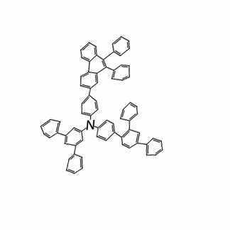 c1ccc(-c2cc(-c3ccccc3)cc(N(c3ccc(-c4ccc5c(c4)c(-c4ccccc4)c(-c4ccccc4)c4ccccc45)cc3)c3ccc(-c4ccc(-c5ccccc5)cc4-c4ccccc4)cc3)c2)cc1